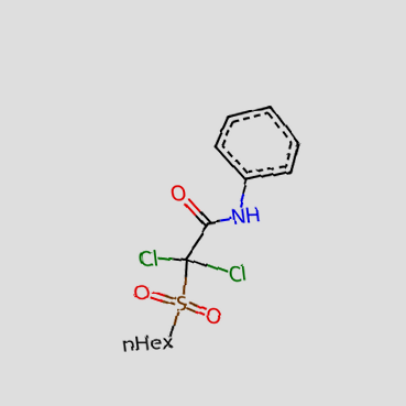 CCCCCCS(=O)(=O)C(Cl)(Cl)C(=O)Nc1ccccc1